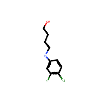 OCCCC[N]c1ccc(Cl)c(Cl)c1